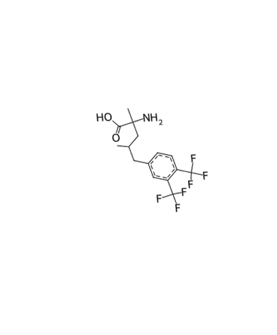 CC(Cc1ccc(C(F)(F)F)c(C(F)(F)F)c1)CC(C)(N)C(=O)O